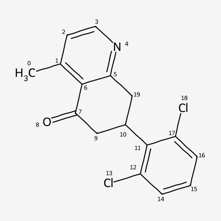 Cc1ccnc2c1C(=O)CC(c1c(Cl)cccc1Cl)C2